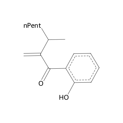 C=C(C(=O)c1ccccc1O)C(C)CCCCC